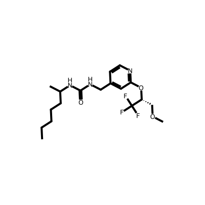 CCCCCC(C)NC(=O)NCc1ccnc(O[C@H](COC)C(F)(F)F)c1